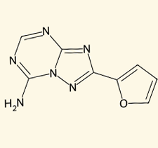 Nc1ncnc2nc(-c3ccco3)nn12